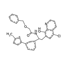 Cc1ccc(-c2cccc(C(Cc3cc(Cl)c4cccnc4c3O)NC(=O)COCc3ccccc3)c2)s1